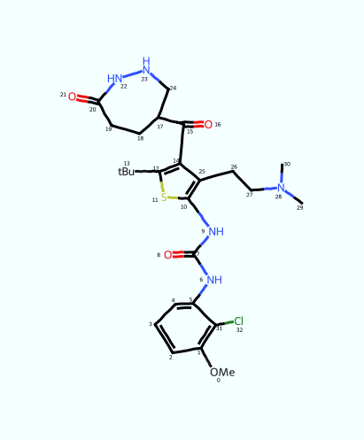 COc1cccc(NC(=O)Nc2sc(C(C)(C)C)c(C(=O)C3CCC(=O)NNC3)c2CCN(C)C)c1Cl